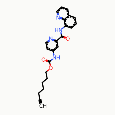 C#CCCCCCOC(=O)Nc1ccnc(C(=O)Nc2cccc3cccnc23)c1